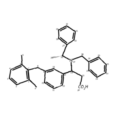 Cc1cccc(C)c1Cc1cccc(C(CC(=O)O)N(Cc2ccccc2)[C@H](C)c2ccccc2)c1